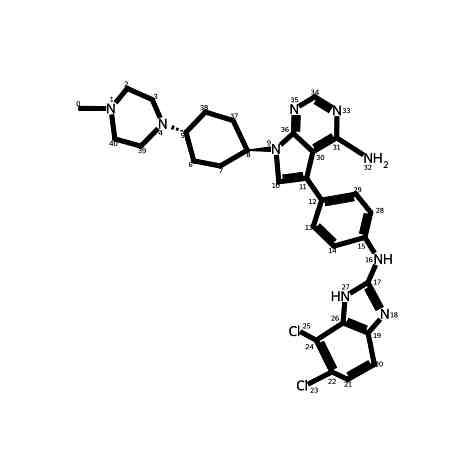 CN1CCN([C@H]2CC[C@H](n3cc(-c4ccc(Nc5nc6ccc(Cl)c(Cl)c6[nH]5)cc4)c4c(N)ncnc43)CC2)CC1